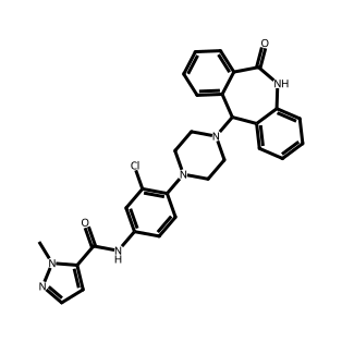 Cn1nccc1C(=O)Nc1ccc(N2CCN(C3c4ccccc4NC(=O)c4ccccc43)CC2)c(Cl)c1